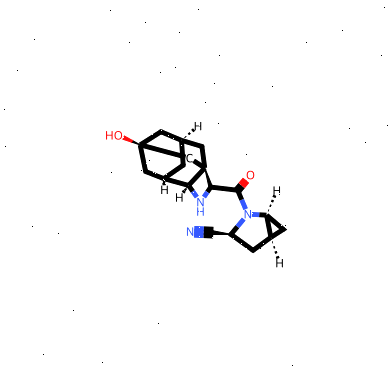 N#C[C@@H]1C[C@@H]2C[C@@H]2N1C(=O)C1N[C@H]2[C@@H]3C[C@H]4C[C@@](O)(C3)C[C@@]12C4